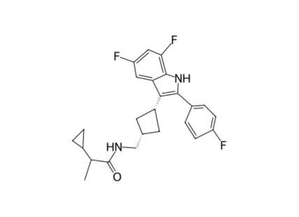 CC(C(=O)NC[C@H]1C[C@@H](c2c(-c3ccc(F)cc3)[nH]c3c(F)cc(F)cc32)C1)C1CC1